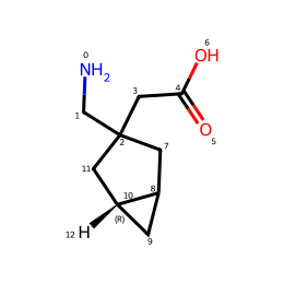 NCC1(CC(=O)O)CC2C[C@@H]2C1